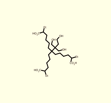 CCC(CCCCC(CCCCC(CC)C(=O)O)(CCCCC(CC)C(=O)O)C(CO)(CO)CCO)C(=O)O